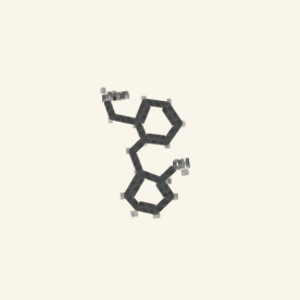 CCCCCCCCCCc1ccccc1Cc1ccccc1O